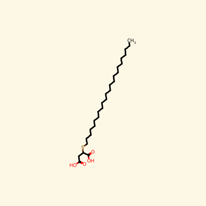 CCCCCCCCCCCCCCCCCCCCCCCCSC(CC(=O)O)C(=O)O